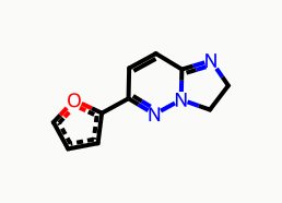 C1=CC2=NCCN2N=C1c1ccco1